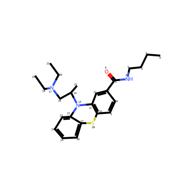 CCCCNC(=O)c1ccc2c(c1)N(C(C)CN(CC)CC)c1ccccc1S2